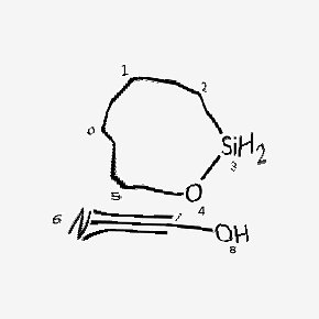 C1CC[SiH2]OC1.N#CO